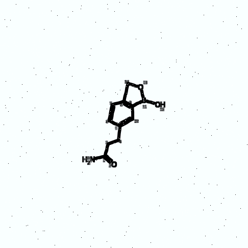 NC(=O)CCc1ccc2c(c1)B(O)OC2